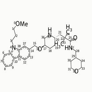 COCCCn1c2ccccc2c2ccc(CO[C@@H]3CC[C@@H](CC(C)(C)C(=O)NCC4CCOCC4)NC3)cc21